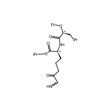 CCO[C@@H](CC(C)C)C(=O)N[C@@H](CCCC(=O)C=N)C(=O)OC(C)C